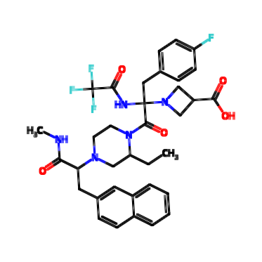 CCC1CN(C(Cc2ccc3ccccc3c2)C(=O)NC)CCN1C(=O)C(Cc1ccc(F)cc1)(NC(=O)C(F)(F)F)N1CC(C(=O)O)C1